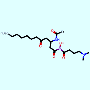 CCCCCCCCCCCCCCCCC(=O)CC(CC(=O)P(O)C(=O)CCCN(C)C)NC(=O)CC